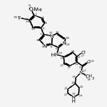 COc1ccc(-c2cnc3c(Nc4ccc(C(=O)N(C)CC5CCNCC5)c(Cl)c4)nccn23)cc1F